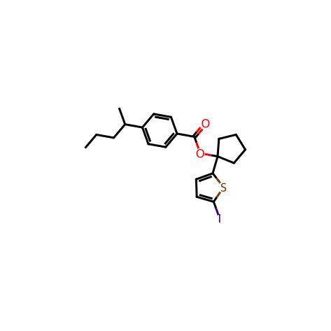 CCCC(C)c1ccc(C(=O)OC2(c3ccc(I)s3)CCCC2)cc1